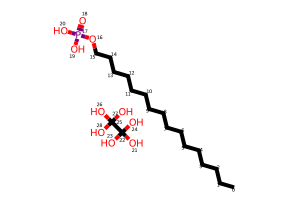 CCCCCCCCCCCCCCCCOP(=O)(O)O.OC(O)(O)C(O)(O)O